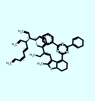 C=C/C=C\C=C\C(C=C)[C@@H](C=C)[C@@H]1C=CC=C(/C(=C/C2=C(C)SC3CCCC(c4nc(C5=CCCC=C5)nc(-c5ccccc5)n4)=C23)CC)C1